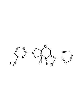 Nc1ccnc(N2CC3OCc4c(-c5ccccc5)nnn4[C@@H]3C2)n1